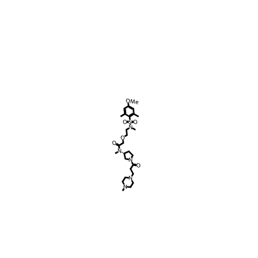 COc1cc(C)c(S(=O)(=O)N(C)CCOCC(=O)N(C)[C@@H]2CCN(C(=O)CCN3CCN(C)CC3)C2)c(C)c1